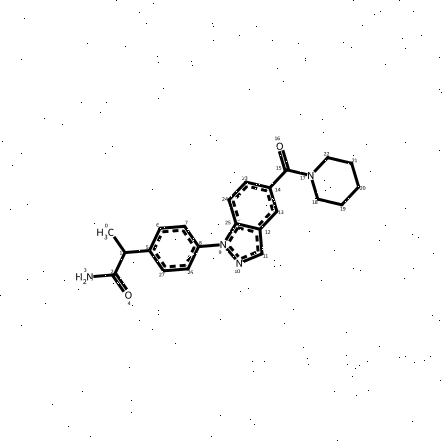 CC(C(N)=O)c1ccc(-n2ncc3cc(C(=O)N4CCCCC4)ccc32)cc1